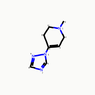 CN1CC=C(n2[c]ncn2)CC1